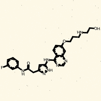 O=C(Cc1cc(Nc2ncnc3cc(OCCCNCCO)ccc23)[nH]n1)Nc1cccc(F)c1